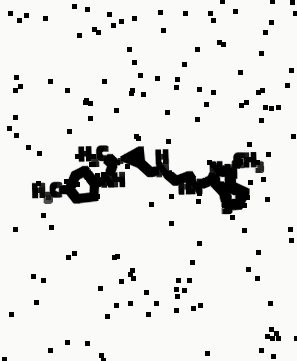 C=C(NC1CCC(C)CC1)[C@@H]1CC1CNCCNc1nn(C)c2ccsc12